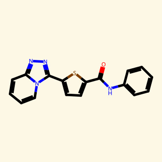 O=C(Nc1ccccc1)c1ccc(-c2nnc3ccccn23)s1